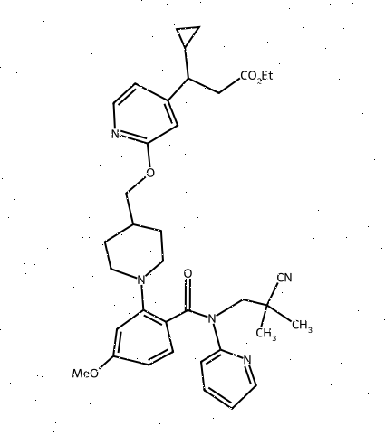 CCOC(=O)CC(c1ccnc(OCC2CCN(c3cc(OC)ccc3C(=O)N(CC(C)(C)C#N)c3ccccn3)CC2)c1)C1CC1